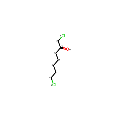 O=C(CCl)CCCCCCl